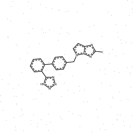 Cc1nc2ccn(Cc3ccc(-c4ccccc4-c4nnn[nH]4)cc3)n2n1